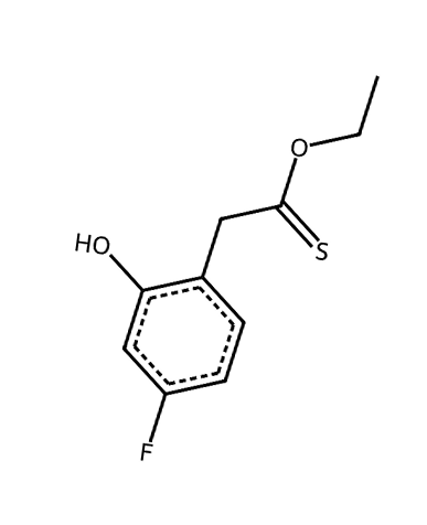 CCOC(=S)Cc1ccc(F)cc1O